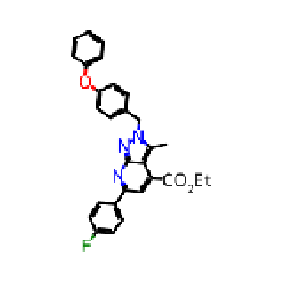 CCOC(=O)c1cc(-c2ccc(F)cc2)nc2nn(Cc3ccc(Oc4ccccc4)cc3)c(C)c12